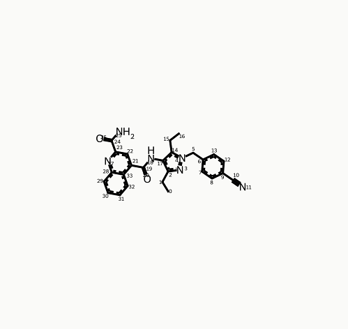 CCc1nn(Cc2ccc(C#N)cc2)c(CC)c1NC(=O)c1cc(C(N)=O)nc2ccccc12